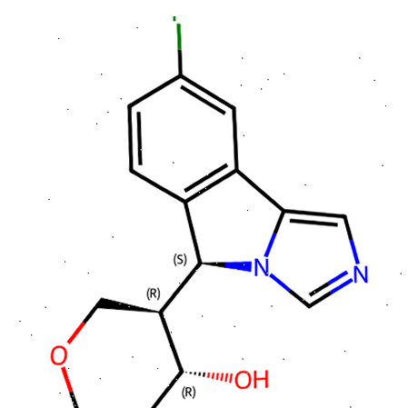 O[C@@H]1CCOC[C@H]1[C@H]1c2ccc(F)cc2-c2cncn21